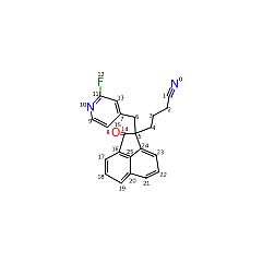 N#CCCCC1(Cc2ccnc(F)c2)C(=O)c2cccc3cccc1c23